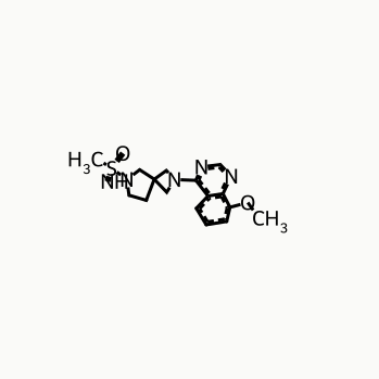 COc1cccc2c(N3CC4(CCN(S(C)(=N)=O)C4)C3)ncnc12